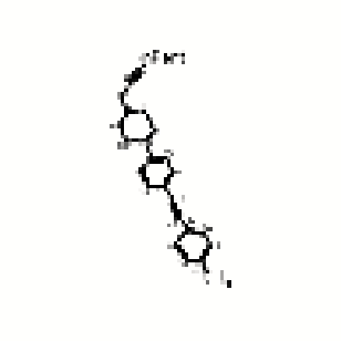 CCCCCC#CCC1CCC(c2ccc(C#Cc3ccc(C)cc3)cc2)CC1